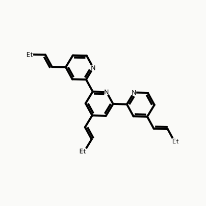 CC/C=C/c1ccnc(-c2cc(/C=C/CC)cc(-c3cc(/C=C/CC)ccn3)n2)c1